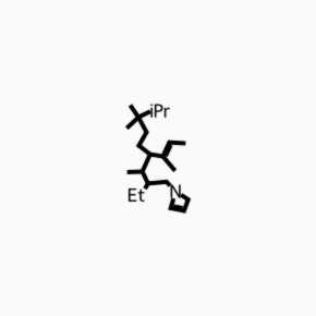 C/C=C(\C)C(CCC(C)(C)C(C)C)C(C)C(CC)CN1C=CC1